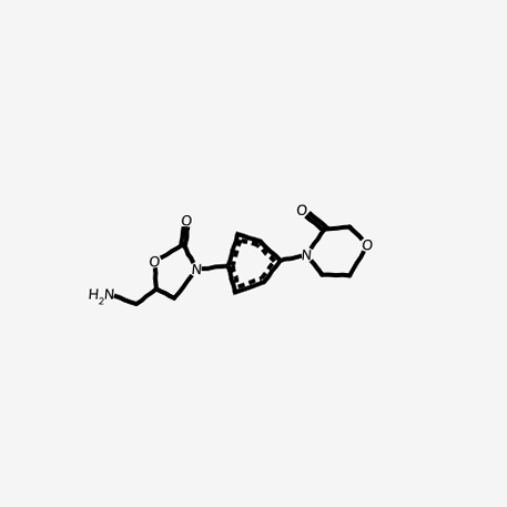 NCC1CN(c2ccc(N3CCOCC3=O)cc2)C(=O)O1